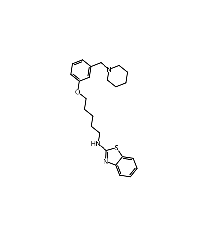 c1cc(CN2CCCCC2)cc(OCCCCCNc2nc3ccccc3s2)c1